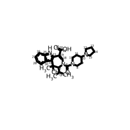 CC(C)C1N(C(=O)N2CCC(N3CCCC3)CC2)C=C(C(=O)O)c2[nH]c3ccccc3c2C1(C)C